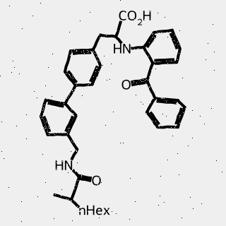 CCCCCCC(C)C(=O)NCc1cccc(-c2ccc(CC(Nc3ccccc3C(=O)c3ccccc3)C(=O)O)cc2)c1